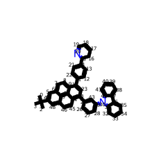 CC(C)(C)c1cc2ccc3c(-c4ccc(C5CC=CC=N5)cc4)cc(-c4cccc(-n5c6ccccc6c6ccccc65)c4)c4ccc(c1)c2c34